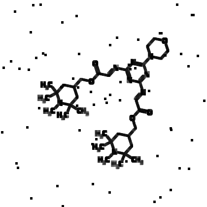 CN1C(C)(C)CC(COC(=O)C=Nc2nc(N=CC(=O)OCC3CC(C)(C)N(C)C(C)(C)C3)nc(N3CCOCC3)n2)CC1(C)C